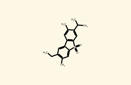 CCc1cc2c(cc1C)S(=O)(=O)c1cc(C(C)C)c(C)cc1-2